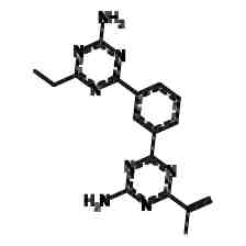 C=C(C)c1nc(N)nc(-c2cccc(-c3nc(N)nc(CC)n3)c2)n1